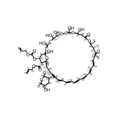 C=CCOC(=O)O[C@H]1C[C@@]2(O)C[C@@H](O)C[C@@H](O)[C@H](O)CC[C@@H](O)C[C@@H](O)CC(=O)O[C@@H](C)[C@H](C)C(=O)[C@@H](C)/C=C/C=C/C=C/C=C/C=C/C=C/C=C/[C@H](O[C@@H]3O[C@H](C)[C@@H](O)C[C@@H]3O)C[C@H](O2)[C@@H]1C(=O)OCC=C